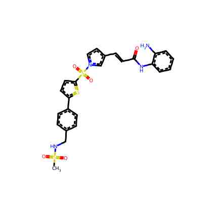 CS(=O)(=O)NCc1ccc(-c2ccc(S(=O)(=O)n3ccc(C=CC(=O)Nc4ccccc4N)c3)s2)cc1